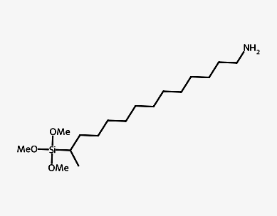 CO[Si](OC)(OC)C(C)CCCCCCCCCCCCN